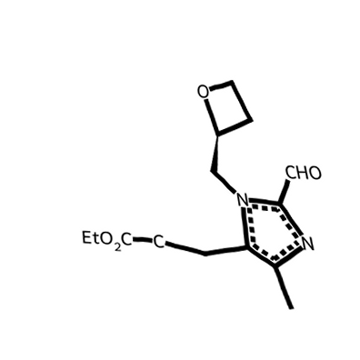 CCOC(=O)CCc1c(C)nc(C=O)n1C[C@@H]1CCO1